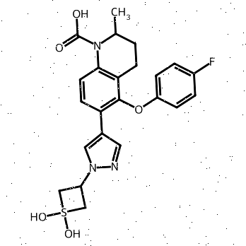 CC1CCc2c(ccc(-c3cnn(C4CS(O)(O)C4)c3)c2Oc2ccc(F)cc2)N1C(=O)O